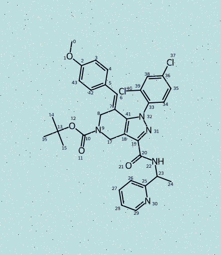 COc1ccc(/C=C2\CN(C(=O)OC(C)(C)C)Cc3c(C(=O)NC(C)c4ccccn4)nn(-c4ccc(Cl)cc4Cl)c32)cc1